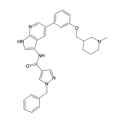 CN1CCCC(COc2cccc(-c3cnc4[nH]cc(NC(=O)c5cnn(Cc6ccccc6)c5)c4c3)c2)C1